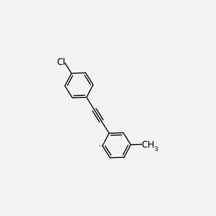 Cc1cc[c]c(C#Cc2ccc(Cl)cc2)c1